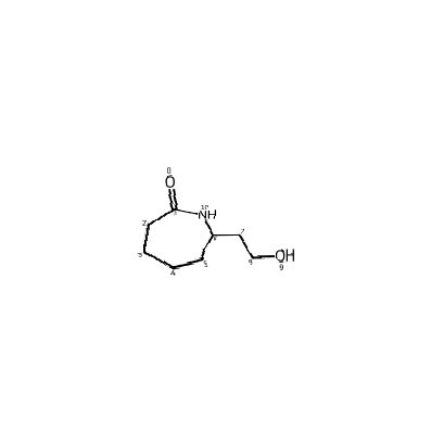 O=C1CCCCC(CCO)N1